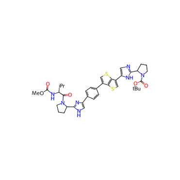 COC(=O)NC(C(=O)N1CCCC1c1nc(-c2ccc(-c3csc4c(-c5cnc(C6CCCN6C(=O)OC(C)(C)C)[nH]5)csc34)cc2)c[nH]1)C(C)C